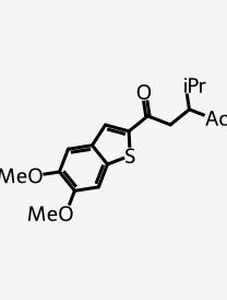 COc1cc2cc(C(=O)CC(C(C)=O)C(C)C)sc2cc1OC